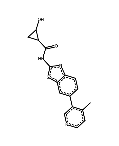 Cc1ccncc1-c1ccc2nc(NC(=O)C3CC3O)sc2c1